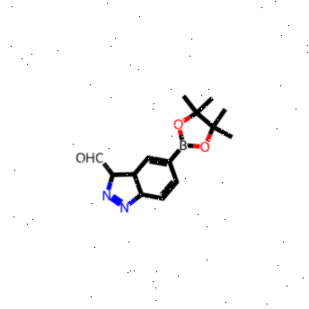 CC1(C)OB(C2=CC3C(C=O)N=NC3C=C2)OC1(C)C